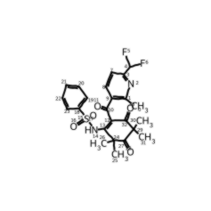 Cc1nc(C(F)F)ccc1C(=O)C1=C(NS(=O)(=O)c2ccccc2)C(C)(C)C(=O)C(C)(C)C1=O